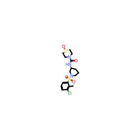 Cc1c(Cl)cccc1S(=O)(=O)N1CCC[C@H](NC(=O)N2CC[S+]([O-])CC2)C1